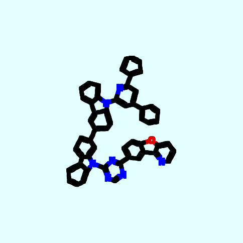 c1ccc(-c2cc(-c3ccccc3)nc(-n3c4ccccc4c4cc(-c5ccc6c7ccccc7n(-c7ncnc(-c8ccc9oc%10cccnc%10c9c8)n7)c6c5)ccc43)c2)cc1